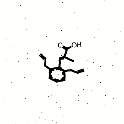 C=CCc1cccc(CC=C)c1C=C(C)C(=O)O